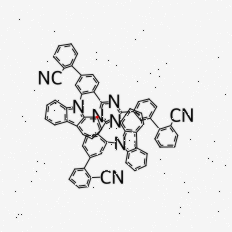 N#Cc1ccccc1-c1cccc(-c2nc(-c3ccc(-c4ccccc4C#N)cc3-n3c4ccccc4c4ccccc43)nc(-c3ccc(-c4ccccc4C#N)cc3-n3c4ccccc4c4ccccc43)n2)c1